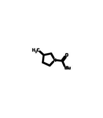 CC1CCN(C(=O)C(C)(C)C)C1